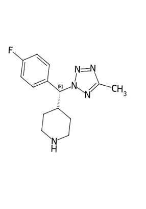 Cc1nnn([C@@H](c2ccc(F)cc2)C2CCNCC2)n1